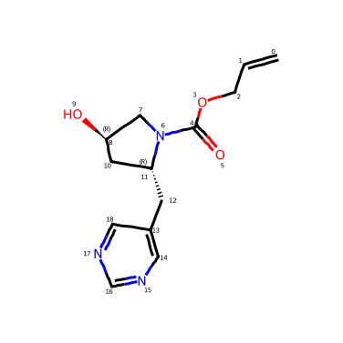 C=CCOC(=O)N1C[C@H](O)C[C@H]1Cc1cncnc1